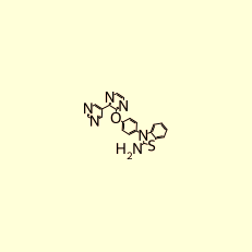 NC1Sc2ccccc2N1c1ccc(Oc2nccnc2-c2cncnc2)cc1